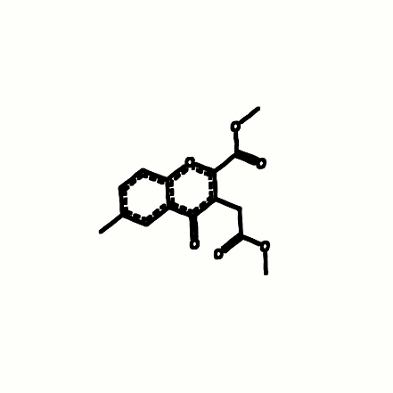 COC(=O)Cc1c(C(=O)OC)oc2ccc(C)cc2c1=O